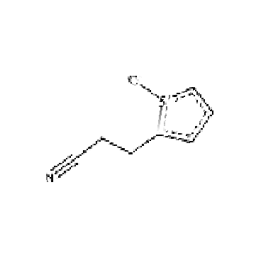 N#CCCc1ccc[s+]1[O-]